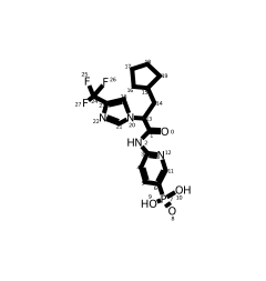 O=C(Nc1ccc(P(=O)(O)O)cn1)C(CC1CCCC1)n1cnc(C(F)(F)F)c1